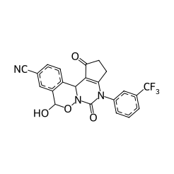 N#Cc1ccc2c(c1)C(O)ON1C(=O)N(c3cccc(C(F)(F)F)c3)C3=C(C(=O)CC3)C21